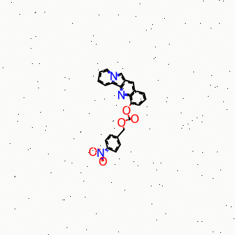 O=C(OCc1ccc([N+](=O)[O-])cc1)Oc1cccc2cc3cn4ccccc4c3nc12